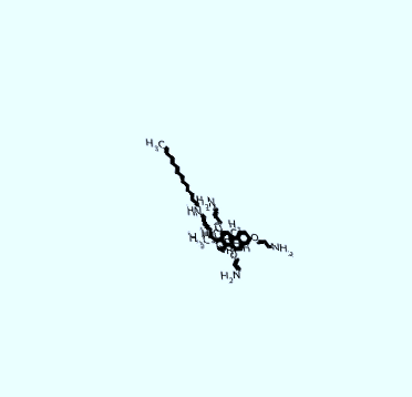 CCCCCCCCCCCCCCNCCC[C@@H](C)[C@H]1CC[C@H]2[C@@H]3[C@H](OCCCN)C[C@@H]4C[C@H](OCCCN)CC[C@]4(C)[C@H]3C[C@H](OCCCN)[C@]12C